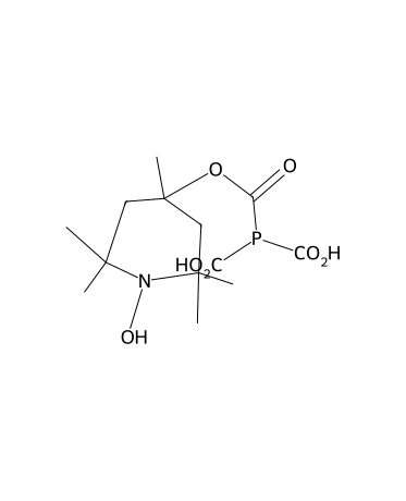 CC1(OC(=O)P(C(=O)O)C(=O)O)CC(C)(C)N(O)C(C)(C)C1